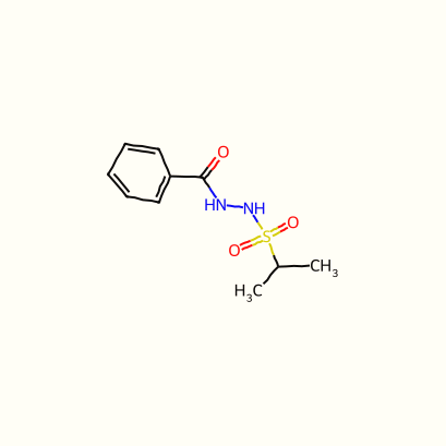 CC(C)S(=O)(=O)NNC(=O)c1ccccc1